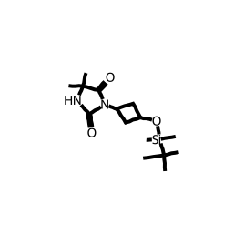 CC1(C)NC(=O)N(C2CC(O[Si](C)(C)C(C)(C)C)C2)C1=O